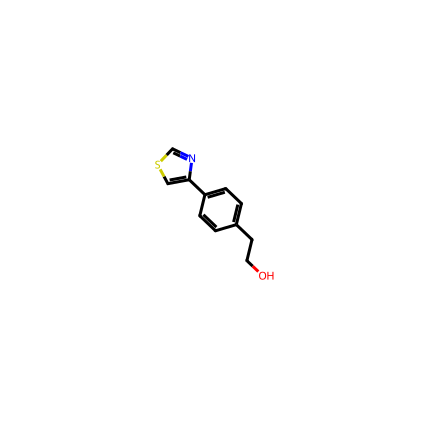 OCCc1ccc(-c2cscn2)cc1